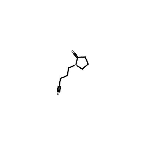 N#CCCCN1CCCC1=O